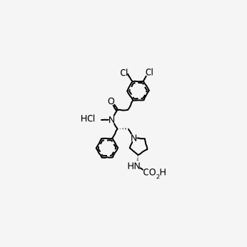 CN(C(=O)Cc1ccc(Cl)c(Cl)c1)[C@H](CN1CC[C@H](NC(=O)O)C1)c1ccccc1.Cl